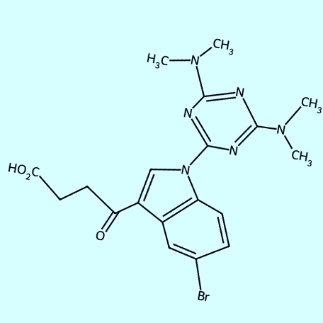 CN(C)c1nc(N(C)C)nc(-n2cc(C(=O)CCC(=O)O)c3cc(Br)ccc32)n1